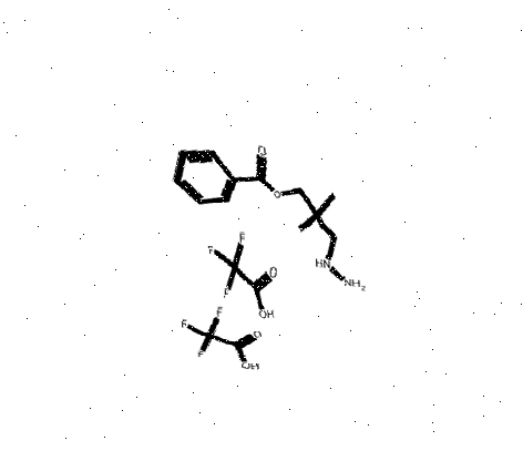 CC(C)(CNN)COC(=O)c1ccccc1.O=C(O)C(F)(F)F.O=C(O)C(F)(F)F